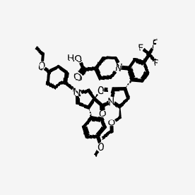 CCOC[C@@H]1C[C@@H](c2ccc(C(F)(F)F)cc2N2CCC(C(=O)O)CC2)CN1C(=O)[C@]1(OC)CN(C2CCC(OCC)CC2)C[C@H]1c1ccc(OC)cc1